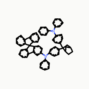 c1ccc(N(c2ccccc2)c2ccc(C3(c4ccc(N(c5ccccc5)c5ccc6c(c5)-c5ccccc5C65c6ccccc6-c6ccccc65)cc4)CC4CCC3C4)cc2)cc1